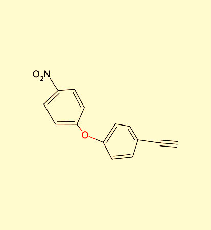 C#Cc1ccc(Oc2ccc([N+](=O)[O-])cc2)cc1